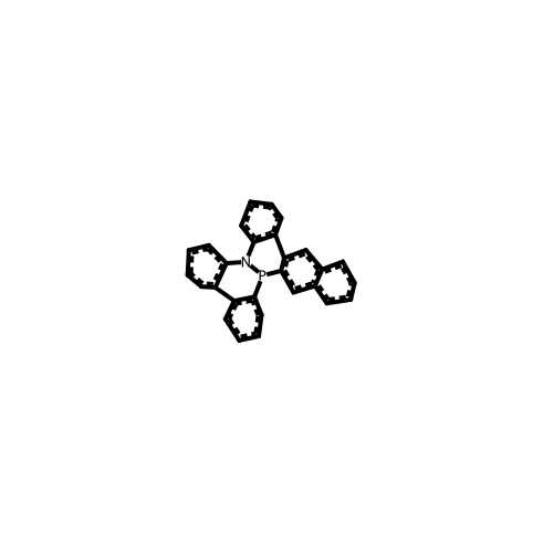 c1ccc2c(c1)-c1ccccc1P1c3cc4ccccc4cc3-c3ccccc3N21